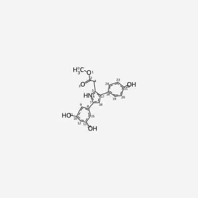 COC(=O)Cc1[nH]c(-c2cc(O)cc(O)c2)cc1-c1ccc(O)cc1